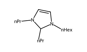 CCCCCCN1C=CN(CCC)C1CCC